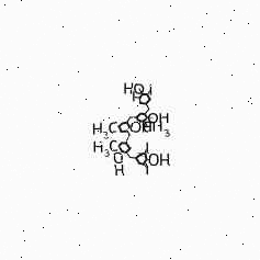 Cc1cc(Cc2cc(C)c(O)c(Cc3cc(I)c(O)c(I)c3)c2)c(O)c(Cc2cc(C)c(O)c(Cc3cc(I)c(O)c(I)c3)c2)c1